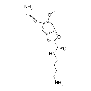 COc1cc2oc(C(=O)NCCCCN)cc2cc1C#CCN